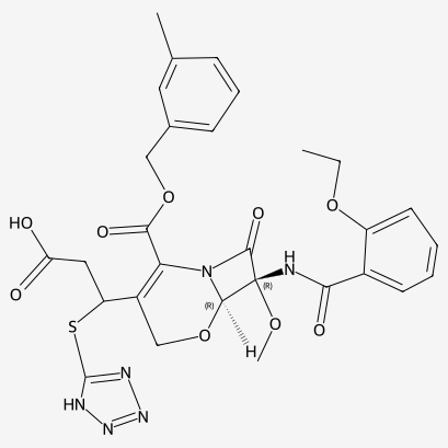 CCOc1ccccc1C(=O)N[C@]1(OC)C(=O)N2C(C(=O)OCc3cccc(C)c3)=C(C(CC(=O)O)Sc3nnn[nH]3)CO[C@@H]21